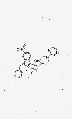 O=[N+]([O-])c1ccc2c(C(O)(CN3CCN(c4cnccn4)CC3)C(F)(F)F)cn(Cc3ccccc3)c2c1